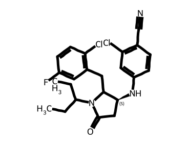 CCC(CC)N1C(=O)C[C@H](Nc2ccc(C#N)c(Cl)c2)C1Cc1cc(F)ccc1Cl